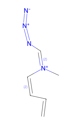 C=C/C=C\[N+](C)=C/N=[N+]=[N-]